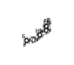 Fc1cc(F)cc(N2CCN(Cc3ccc(Nc4ccnc5cc(C(F)(F)F)ccc45)cc3)CC2)c1